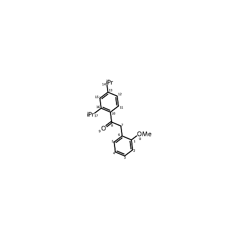 COc1ccccc1CC(=O)c1ccc(C(C)C)[c]c1C(C)C